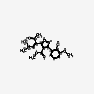 COC(=O)c1c(-c2cccc(OC)c2Cl)noc1C(=CN(C)C)C(C)=O